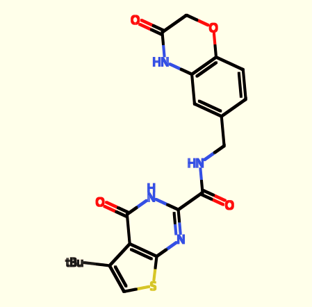 CC(C)(C)c1csc2nc(C(=O)NCc3ccc4c(c3)NC(=O)CO4)[nH]c(=O)c12